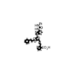 CCNC(=O)Nc1ncnc2c1ncn2C1OC(COCc2ncccc2C(=O)O)C2OC(C=Cc3ccccc3)OC21